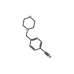 N#Cc1ccc(CN2CC[N]CC2)cc1